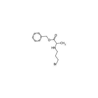 CC(NCCCBr)C(=O)OCc1ccccc1